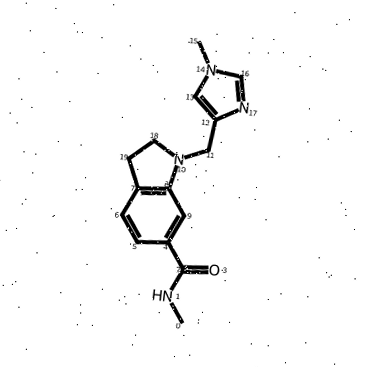 CNC(=O)c1ccc2c(c1)N(Cc1cn(C)cn1)CC2